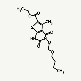 CCCCOCOn1c(=O)[nH]c2sc(C(=O)OCC)c(C)c2c1=O